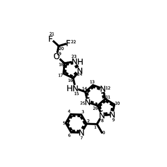 CC(c1ccccn1)n1ncc2ncc(Nc3cc(OC(F)F)[nH]n3)nc21